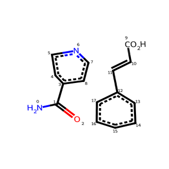 NC(=O)c1ccncc1.O=C(O)C=Cc1ccccc1